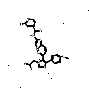 COc1ccc(-c2ncn(CC(F)F)c2-c2ccc3nc(NC(=O)c4ccnc(F)c4)cn3n2)cc1